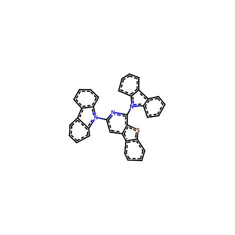 c1ccc2c(c1)sc1c(-n3c4ccccc4c4ccccc43)nc(-n3c4ccccc4c4ccccc43)cc12